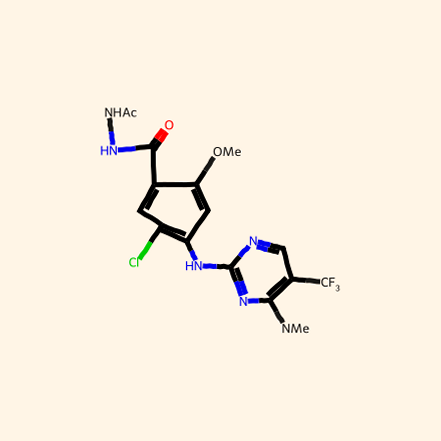 CNc1nc(Nc2cc(OC)c(C(=O)NNC(C)=O)cc2Cl)ncc1C(F)(F)F